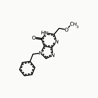 COCc1nc2ncn(Cc3ccccc3)c2c(=O)[nH]1